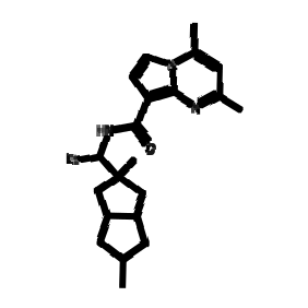 CCC(NC(=O)c1ccn2c(C)cc(C)nc12)C1(C)CC2CC(C)CC2C1